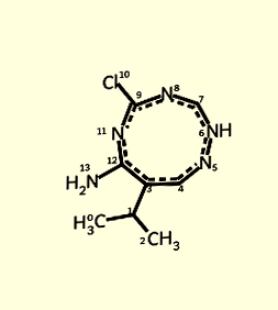 CC(C)c1cn[nH]cnc(Cl)nc1N